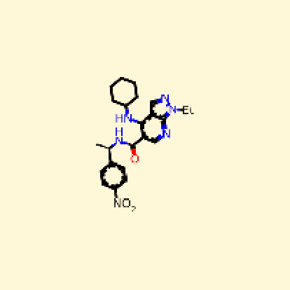 CCn1ncc2c(NC3CCCCC3)c(C(=O)N[C@H](C)c3ccc([N+](=O)[O-])cc3)cnc21